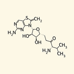 C=C1Sc2cnc(N)nc2N1[C@@H]1O[C@H](CCC(=O)[C@@H](N)C(C)C)[C@@H](O)[C@H]1O